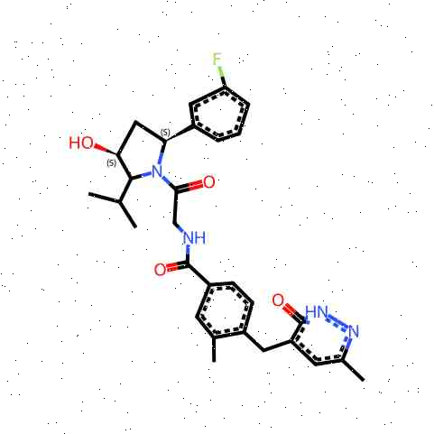 Cc1cc(Cc2ccc(C(=O)NCC(=O)N3C(C(C)C)[C@@H](O)C[C@H]3c3cccc(F)c3)cc2C)c(=O)[nH]n1